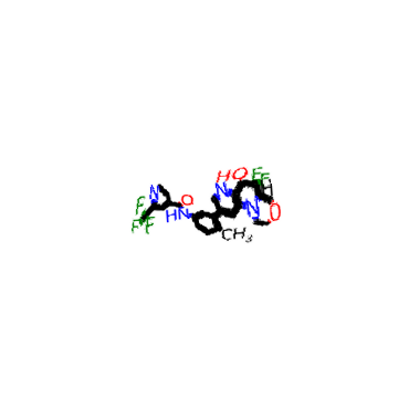 Cc1ccc(NC(=O)c2ccnc(C(F)(F)F)c2)cc1-c1cnc2c(c1)N1CCOC[C@H]1C(F)(F)[C@H]2O